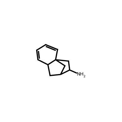 NC1CC23C=CC=CC2CC1C3